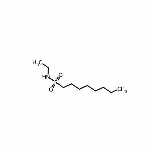 CCCCCCCCS(=O)(=O)NCC